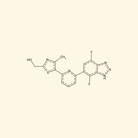 Cc1nc(CO)sc1-c1cccc(-c2cc(F)c3nn[nH]c3c2F)n1